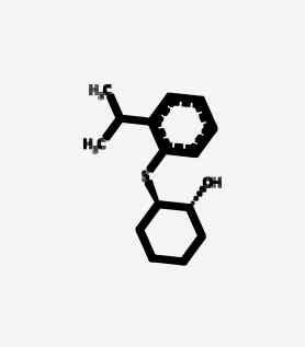 CC(C)c1ccccc1S[C@@H]1CCCC[C@H]1O